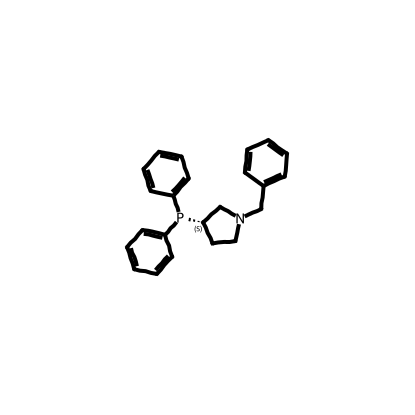 c1ccc(CN2CC[C@H](P(c3ccccc3)c3ccccc3)C2)cc1